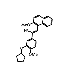 COc1cnc(C(C#N)=Cc2c(OC)ccc3ccccc23)cc1OC1CCCC1